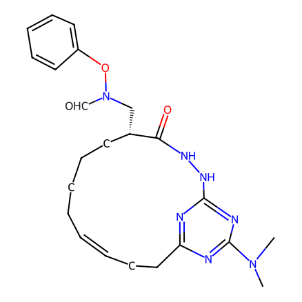 CN(C)c1nc2nc(n1)NNC(=O)[C@@H](CN(C=O)Oc1ccccc1)CCCCC=CCC2